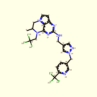 CC1Cn2ccc3nc(NCc4cnn(Cc5ccc(C(F)(F)F)nc5)c4)nc(c32)N1CC(F)(F)F